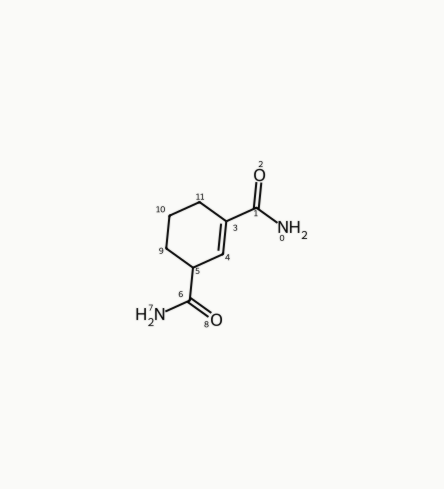 NC(=O)C1=CC(C(N)=O)CCC1